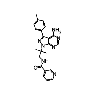 Cc1ccc(-c2nn(C(C)(C)CNC(=O)c3cccnc3)c3ncnc(N)c23)cc1